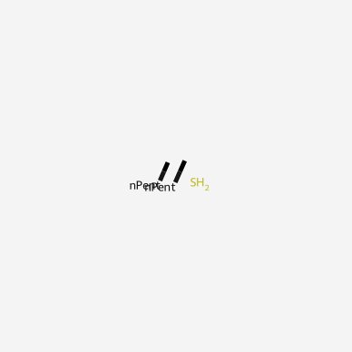 CCCCCC.CCCCCC.S